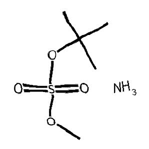 COS(=O)(=O)OC(C)(C)C.N